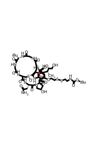 CC[C@H](C)[C@@H]1NC(=O)CNC(=O)C2Cc3c([nH]c4cc(OCCSSCCNC(=O)OC(C)(C)C)ccc34)[S@+]([O-])CC(NC(=O)CNC1=O)C(=O)N[C@@H](CC(N)=O)C(=O)N1CC(O)C[C@H]1C(=O)N[C@@H]([C@@H](C)[C@@H](O)CO)C(=O)N2